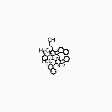 C#CCCc1c(C)c(-c2ccccc2C)c(C(=C)c2nc3c(nc2-c2cccc4ccccc24)sc2ccccc23)c2sc3c4ccccc4ccc3c12